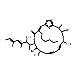 C/C=C(C)/C=C(\C)C(O)C(C)C1OC(=O)/C(CCCCCC)=C/c2csc(n2)C(C)C(O)CC(O)/C=C/C=C\CC(O)C1O